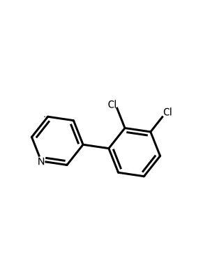 Clc1cccc(-c2c[c]cnc2)c1Cl